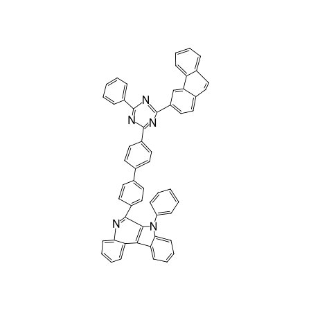 c1ccc(-c2nc(-c3ccc(-c4ccc(-c5nc6ccccc6c6c7ccccc7n(-c7ccccc7)c56)cc4)cc3)nc(-c3ccc4ccc5ccccc5c4c3)n2)cc1